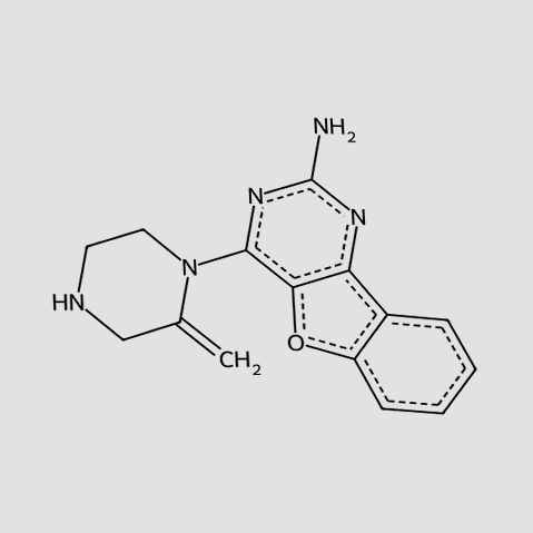 C=C1CNCCN1c1nc(N)nc2c1oc1ccccc12